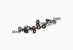 COC(=O)N[C@H](C(=O)N1CCC[C@@H]1c1ncc(-c2ccc(-c3ccc(-c4cccc(NC(=O)[C@@H]5CCCN5C(=O)[C@H](NC(=O)OC)C(C)C)c4)c4c3CC3(CCCC3)C4)c3c2C2CCC3C2)[nH]1)C(C)C